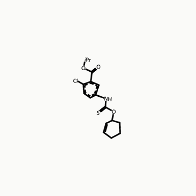 CC(C)OC(=O)c1cc(NC(=S)OC2C=CCCC2)ccc1Cl